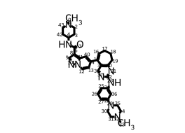 CN1CCC(NC(=O)c2cnn3ccc(C4=CCCCc5nc(Nc6cccc(N7CCN(C)CC7)c6)ncc54)cc23)CC1